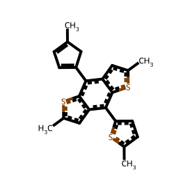 CC1=CC=C(c2c3cc(C)sc3c(-c3ccc(C)s3)c3cc(C)sc23)C1